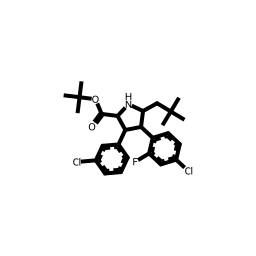 CC(C)(C)CC1NC(C(=O)OC(C)(C)C)C(c2cccc(Cl)c2)C1c1ccc(Cl)cc1F